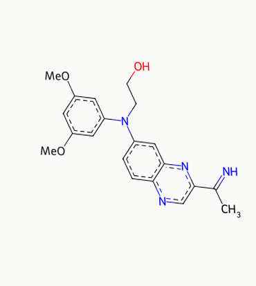 COc1cc(OC)cc(N(CCO)c2ccc3ncc(C(C)=N)nc3c2)c1